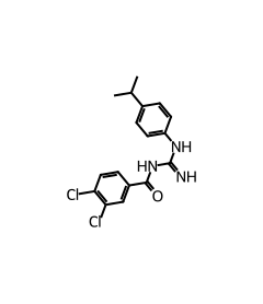 CC(C)c1ccc(NC(=N)NC(=O)c2ccc(Cl)c(Cl)c2)cc1